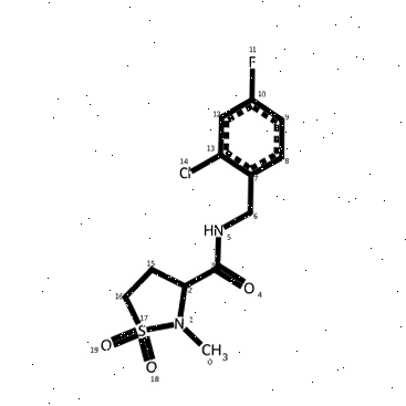 CN1C(C(=O)NCc2ccc(F)cc2Cl)CCS1(=O)=O